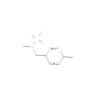 Cc1ccc(CN(C)S(C)(=O)=O)cn1